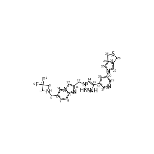 FC1(F)CN(Cc2ccc3nc(CN4C=C(c5cncc(-n6cc7c(c6)CSC7)c5)NN4)cn3c2)C1